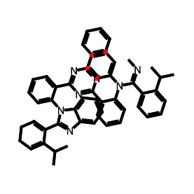 C/N=C(/c1ccccc1C(C)C)N(c1ccccc1)c1ccccc1-c1nc(-c2ccccc2)nc(-c2ccccc2-n2c(C3=CCCC=C3C(C)C)nc3ccccc32)n1